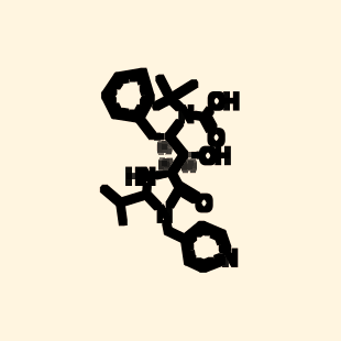 CC(C)C1N[C@@H]([C@@H](O)[C@H](Cc2ccccc2)N(C(=O)O)C(C)(C)C)C(=O)N1Cc1ccncc1